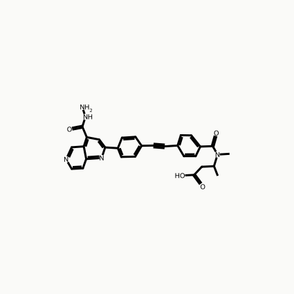 CC(CC(=O)O)N(C)C(=O)c1ccc(C#Cc2ccc(-c3cc(C(=O)NN)c4cnccc4n3)cc2)cc1